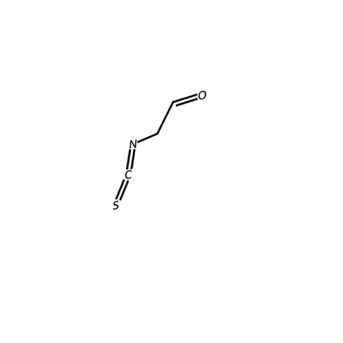 O=CCN=C=S